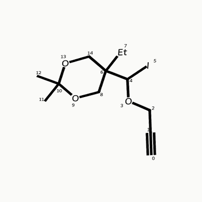 C#CCOC(I)C1(CC)COC(C)(C)OC1